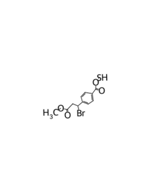 COC(=O)CC(Br)c1ccc(C(=O)OS)cc1